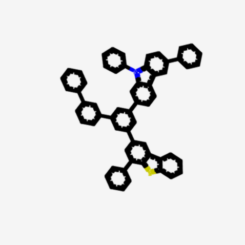 c1ccc(-c2cccc(-c3cc(-c4cc(-c5ccccc5)c5sc6ccccc6c5c4)cc(-c4ccc5c6cc(-c7ccccc7)ccc6n(-c6ccccc6)c5c4)c3)c2)cc1